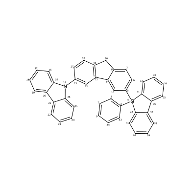 c1ccc([Si]2(c3ccc4c(c3)-c3cc(-n5c6ccccc6c6ccccc65)ccc3C4)c3ccccc3-c3ccccc32)cc1